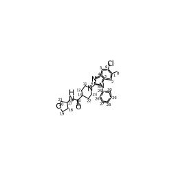 Cc1cc2c(cc1Cl)nc(N1CCC(C(=O)NC3CCOC3)CC1)n2-c1ccccc1